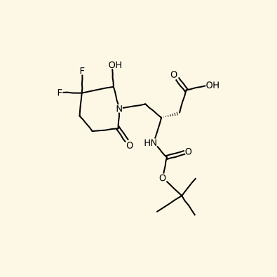 CC(C)(C)OC(=O)N[C@@H](CC(=O)O)CN1C(=O)CCC(F)(F)C1O